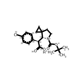 CC(C)(C)OC(=O)N1CCC2(CC2)[C@H]1[C@@H](C(=O)O)c1ccc(Cl)cc1